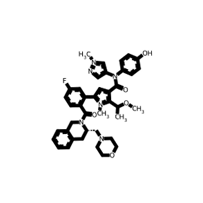 COC(C)c1c(C(=O)N(c2ccc(O)cc2)c2cnn(C)c2)cc(-c2cc(F)ccc2C(=O)N2Cc3ccccc3C[C@H]2CN2CCOCC2)n1C